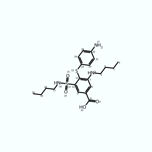 CCCCNc1cc(C(=O)O)cc(S(=O)(=O)NCCCC)c1Sc1ccc(N)cc1